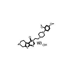 COc1ccc(N2CCN(CCn3cnc4sc5c(c4c3=O)CCN(C)C5)CC2)c(OC)c1.Cl.Cl.Cl